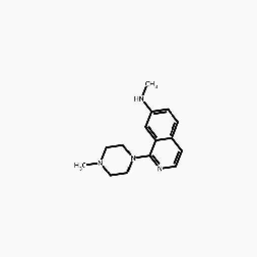 CNc1ccc2ccnc(N3CCN(C)CC3)c2c1